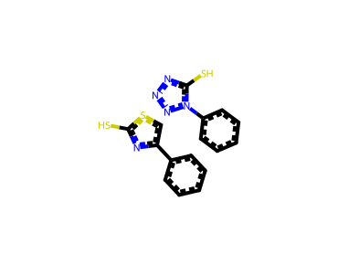 Sc1nc(-c2ccccc2)cs1.Sc1nnnn1-c1ccccc1